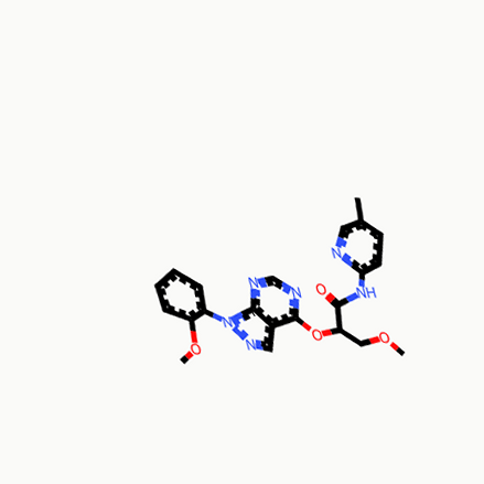 COCC(Oc1ncnc2c1cnn2-c1ccccc1OC)C(=O)Nc1ccc(C)cn1